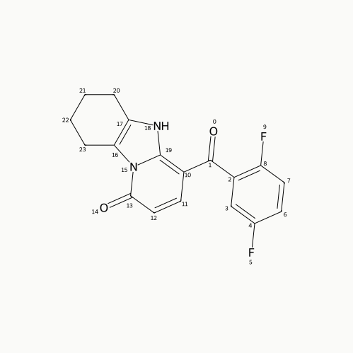 O=C(c1cc(F)ccc1F)c1ccc(=O)n2c3c([nH]c12)CCCC3